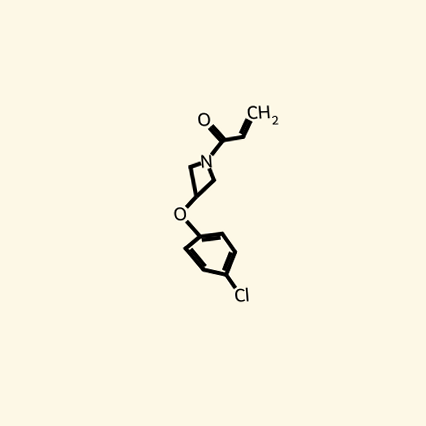 C=CC(=O)N1CC(Oc2ccc(Cl)cc2)C1